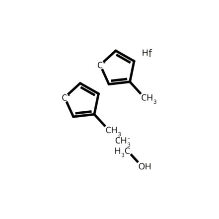 CO.Cc1cc[cH-]c1.Cc1cc[cH-]c1.[CH3-].[Hf]